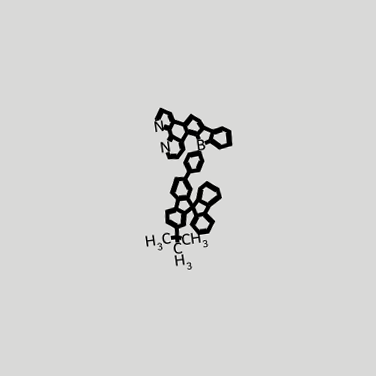 CC(C)(C)c1ccc2c(c1)C1(c3ccccc3-c3ccccc31)c1cc(-c3ccc(B4c5ccccc5-c5ccc6c7cccnc7c7ncccc7c6c54)cc3)ccc1-2